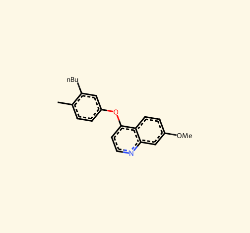 CCCCc1cc(Oc2ccnc3cc(OC)ccc23)ccc1C